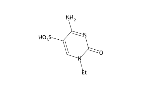 CCn1cc(S(=O)(=O)O)c(N)nc1=O